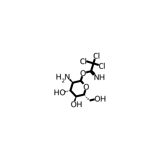 N=C(OC1O[C@H](CO)[C@@H](O)[C@H](O)[C@H]1N)C(Cl)(Cl)Cl